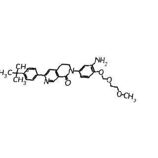 COCCOCOc1ccc(N2CCc3cc(-c4ccc(C(C)(C)C)cc4)ncc3C2=O)cc1N